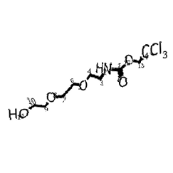 O=C(NCCOCCOCCO)OCC(Cl)(Cl)Cl